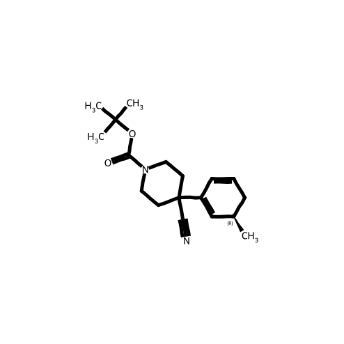 C[C@H]1C=C(C2(C#N)CCN(C(=O)OC(C)(C)C)CC2)C=CC1